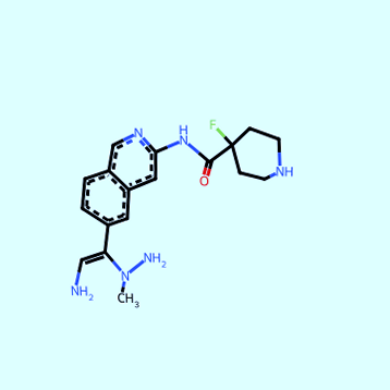 CN(N)/C(=C\N)c1ccc2cnc(NC(=O)C3(F)CCNCC3)cc2c1